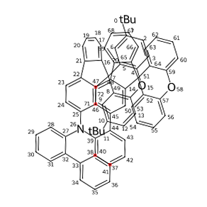 CC(C)(C)c1ccc2c(c1)C1(c3cc(C(C)(C)C)ccc3O2)c2ccccc2-c2ccc(N(c3ccccc3-c3ccccc3)c3ccccc3-c3ccc4c(c3)C3(c5ccccc5Oc5ccccc53)c3ccccc3-4)cc21